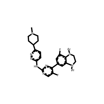 CC(=O)N1CCN(C(C)C)c2cc(-c3nc(Nc4ccc(C5CCN(C)CC5)nn4)ncc3F)cc(F)c21